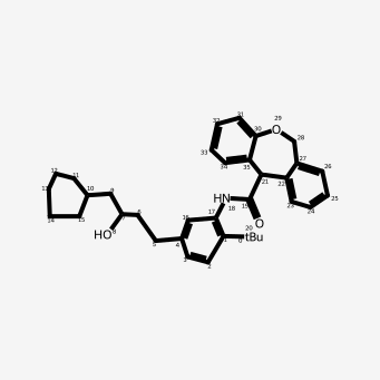 CC(C)(C)c1ccc(CCC(O)CC2CCCCC2)cc1NC(=O)C1c2ccccc2COc2ccccc21